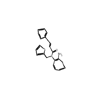 NC1=C(N(Cc2cccs2)C(=O)/C=C/c2ccccc2)C=CC=CC1